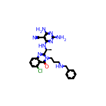 C[C@H](Nc1nc(N)nc(N)c1C#N)c1nc2cccc(Cl)c2c(=O)n1CCCNCc1ccccc1